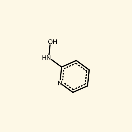 ONc1ccccn1